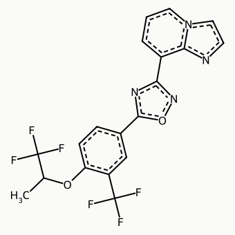 CC(Oc1ccc(-c2nc(-c3cccn4ccnc34)no2)cc1C(F)(F)F)C(F)(F)F